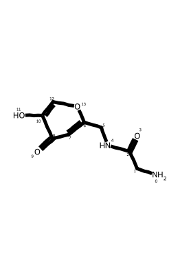 NCC(=O)NCc1cc(=O)c(O)co1